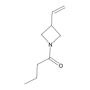 C=CC1CN(C(=O)CCC)C1